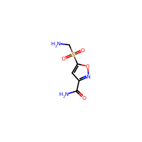 NCS(=O)(=O)c1cc(C(N)=O)no1